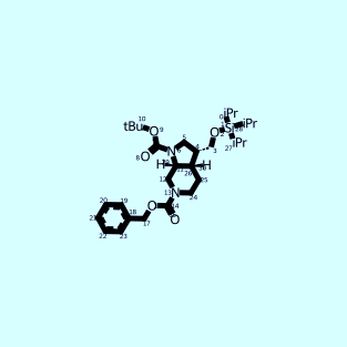 CC(C)[Si](OC[C@H]1CN(C(=O)OC(C)(C)C)[C@H]2CN(C(=O)OCc3ccccc3)CC[C@@H]12)(C(C)C)C(C)C